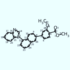 COC(=O)c1ccc(-c2ccc3c(-n4cnc5ccccc54)cccc3c2)cc1OC